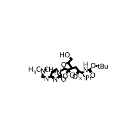 CC(C)[C@H](NC(=O)OC(C)(C)C)C(=O)CC1C(CO)OC(n2ccc(/N=C\N(C)C)nc2=O)C1(C)O